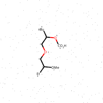 CCCCC(COCC(CC)OC)OC(=O)O